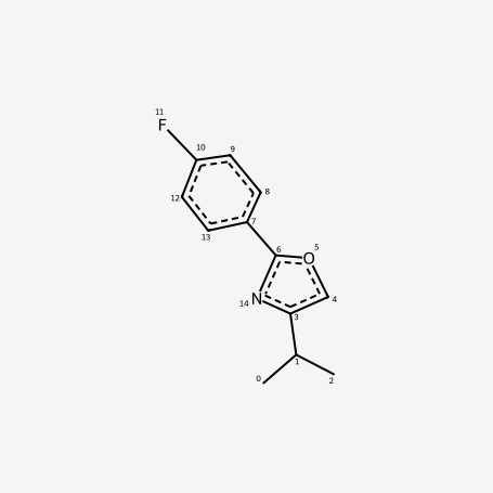 CC(C)c1coc(-c2ccc(F)cc2)n1